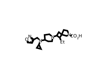 CCC1C(N2CCC(N(Cc3ccon3)C3CC3)CC2)CC12CCN(C(=O)O)C2